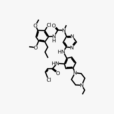 CCCc1c(OC)cc(OC)c(Cl)c1NC(=O)N(C)c1cc(Nc2ccc(N3CCN(CC)CC3)cc2NC(=O)/C=C\Cl)ncn1